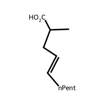 CCCCC/C=C/CC(C)C(=O)O